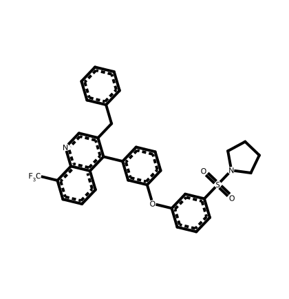 O=S(=O)(c1cccc(Oc2cccc(-c3c(Cc4ccccc4)cnc4c(C(F)(F)F)cccc34)c2)c1)N1CCCC1